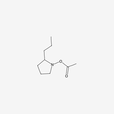 CCCC1CCCN1OC(C)=O